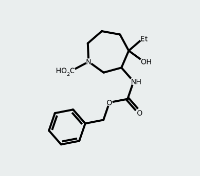 CCC1(O)CCCN(C(=O)O)CC1NC(=O)OCc1ccccc1